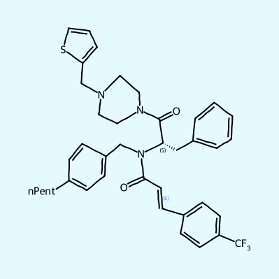 CCCCCc1ccc(CN(C(=O)/C=C/c2ccc(C(F)(F)F)cc2)[C@@H](Cc2ccccc2)C(=O)N2CCN(Cc3cccs3)CC2)cc1